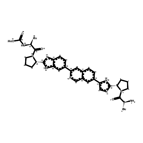 CC[C@@H](C)[C@H](N)C(=O)N1CCC[C@H]1c1ncc(-c2ccc3cc(-c4ccc5nc([C@@H]6CCCN6C(=O)[C@@H](NC(=O)OC)[C@H](C)CC)[nH]c5c4)ncc3c2)[nH]1